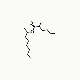 CCCCCCC(C)OC(=O)C(C)CCCC